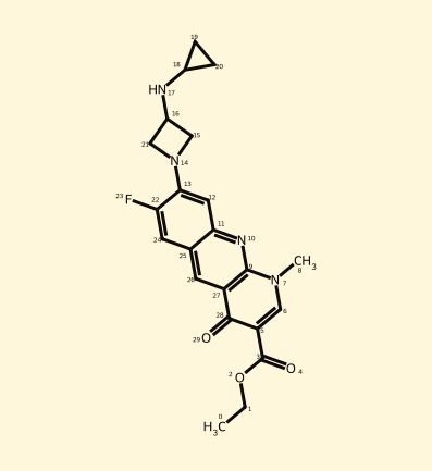 CCOC(=O)c1cn(C)c2nc3cc(N4CC(NC5CC5)C4)c(F)cc3cc2c1=O